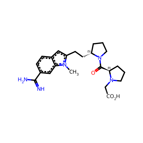 Cn1c(CC[C@@H]2CCCN2C(=O)[C@H]2CCCN2CC(=O)O)cc2ccc(C(=N)N)cc21